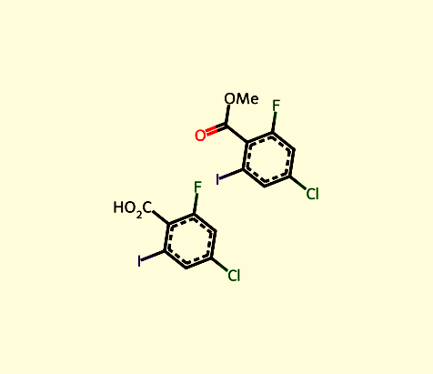 COC(=O)c1c(F)cc(Cl)cc1I.O=C(O)c1c(F)cc(Cl)cc1I